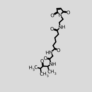 CC(C)C(=O)C(C)NC(=O)CNC(=O)CCCCC(=O)NCCN1C(=O)C=CC1=O